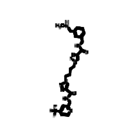 CNCc1cccc(CNC(=O)c2cn(CCCCn3cc(C(=O)NCc4cc(C(F)(F)F)ccn4)nn3)nn2)c1